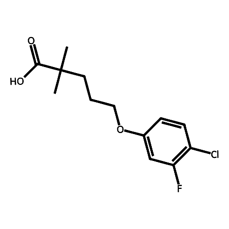 CC(C)(CCCOc1ccc(Cl)c(F)c1)C(=O)O